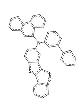 c1ccc(-c2cccc(N(c3ccc4sc5c6ccccc6ccc5c4c3)c3cc4ccccc4c4ccccc34)c2)cc1